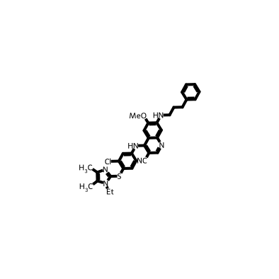 CCn1c(Sc2ccc(Nc3c(C#N)cnc4cc(NCCCc5ccccc5)c(OC)cc34)cc2Cl)nc(C)c1C